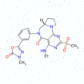 CCNc1nc(S(C)(=O)=O)nc2c1C(=O)N(c1cccc(-c3nn(C)c(=O)o3)c1)C[C@@H]1CCCN21